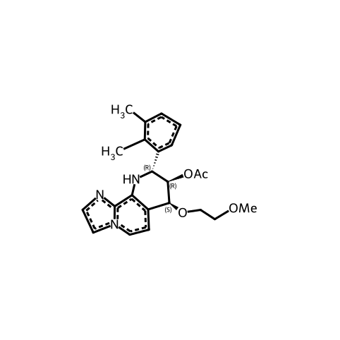 COCCO[C@H]1c2ccn3ccnc3c2N[C@H](c2cccc(C)c2C)[C@H]1OC(C)=O